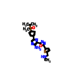 C=S(=O)(c1ccc(-c2cnc(N)c(-c3nnc(-c4ccc(CNC)s4)o3)n2)cc1)C(C)C